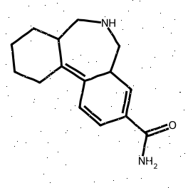 NC(=O)C1=CC2CNCC3CCCCC3=C2C=C1